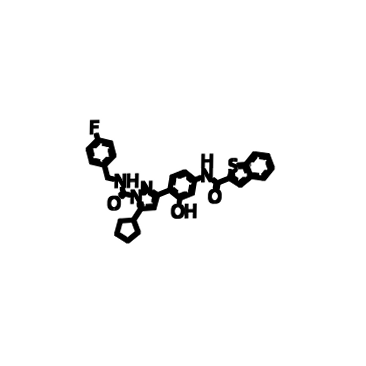 O=C(Nc1ccc(-c2cc(C3CCCC3)n(C(=O)NCc3ccc(F)cc3)n2)c(O)c1)c1cc2ccccc2s1